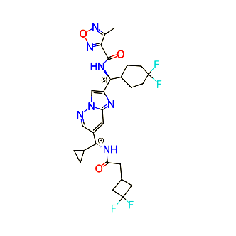 Cc1nonc1C(=O)N[C@H](c1cn2ncc([C@H](NC(=O)CC3CC(F)(F)C3)C3CC3)cc2n1)C1CCC(F)(F)CC1